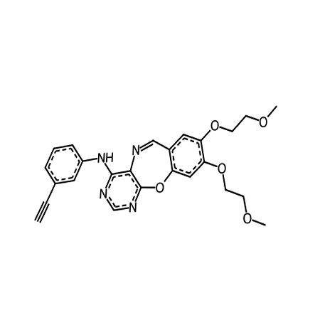 C#Cc1cccc(Nc2ncnc3c2N=Cc2cc(OCCOC)c(OCCOC)cc2O3)c1